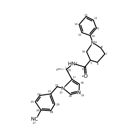 C[C@H](NC(=O)C1CCCN(c2ccccc2)C1)c1cncn1Cc1ccc(C#N)cc1